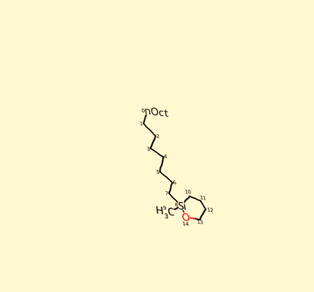 CCCCCCCCCCCCCCC[Si]1(C)CCCCO1